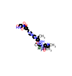 CCOc1cc(N2CCC(N3CCN(CCc4ccc5c(c4)oc(=O)n5C4CCC(=O)NC4=O)CC3)CC2)c(CC)cc1Nc1ncc(Br)c(Nc2ccc3nc(C)ccc3c2P(C)(C)=O)n1